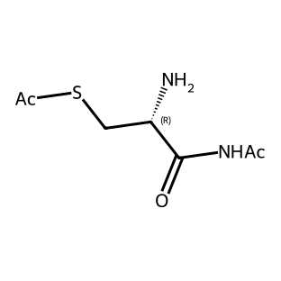 CC(=O)NC(=O)[C@@H](N)CSC(C)=O